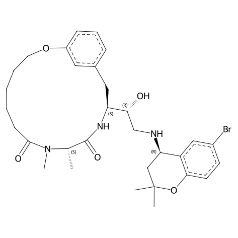 C[C@H]1C(=O)N[C@H]([C@H](O)CN[C@@H]2CC(C)(C)Oc3ccc(Br)cc32)Cc2cccc(c2)OCCCCCC(=O)N1C